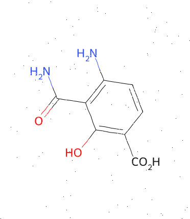 NC(=O)c1c(N)ccc(C(=O)O)c1O